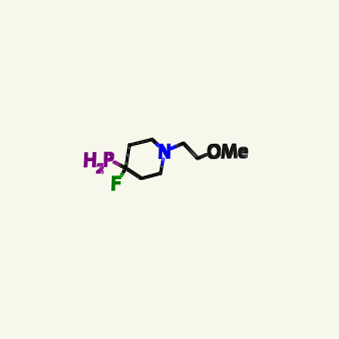 COCCN1CCC(F)(P)CC1